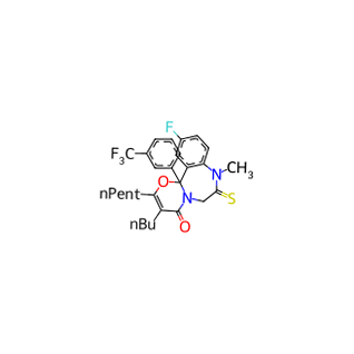 CCCCCC1=C(CCCC)C(=O)N2CC(=S)N(C)c3ccc(F)cc3C2(c2cccc(C(F)(F)F)c2)O1